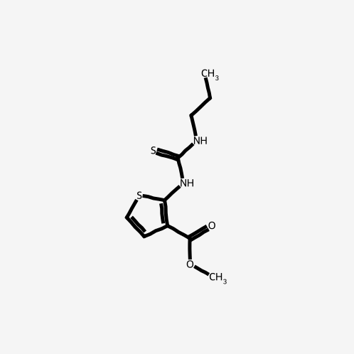 CCCNC(=S)Nc1sccc1C(=O)OC